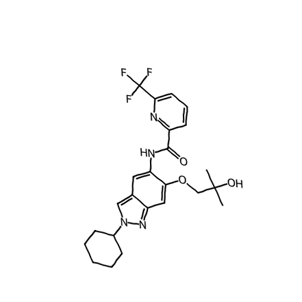 CC(C)(O)COc1cc2nn(C3CCCCC3)cc2cc1NC(=O)c1cccc(C(F)(F)F)n1